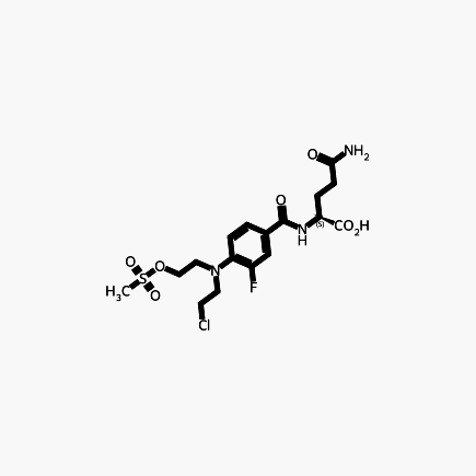 CS(=O)(=O)OCCN(CCCl)c1ccc(C(=O)N[C@@H](CCC(N)=O)C(=O)O)cc1F